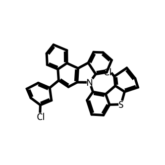 Clc1cccc(-c2cc3c(c4ccccc24)c2ccccc2n3-c2cccc3sc4cccc(Cl)c4c23)c1